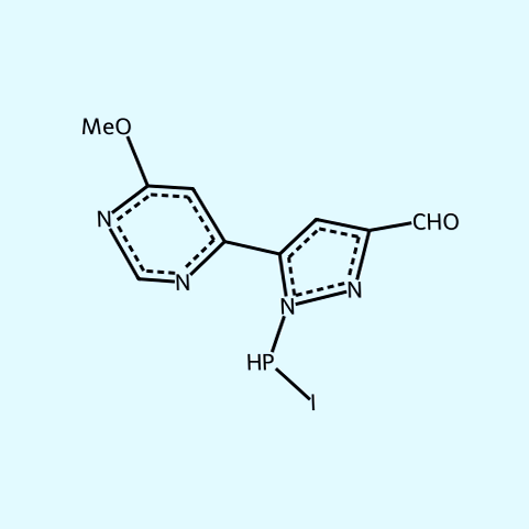 COc1cc(-c2cc(C=O)nn2PI)ncn1